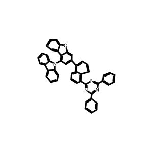 c1ccc(-c2nc(-c3ccccc3)nc(-c3cccc4c(-c5cc(-n6c7ccccc7c7ccccc76)c6c(c5)oc5ccccc56)cccc34)n2)cc1